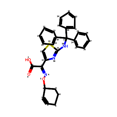 O=C(O)/C(=N\OC1C#CCCC1)c1csc(NC(c2ccccc2)(c2ccccc2)c2ccccc2)n1